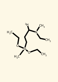 [2H]C(CC[Si](C)(OCC)OCC)N(C)CC